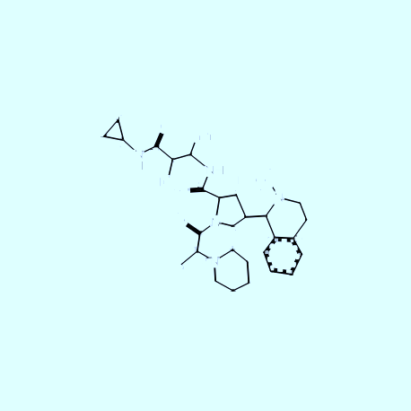 CCCC(NC(=O)C1CC(C2c3ccccc3CCN2C(=O)O)CN1C(=O)C(C)N1CCCCC1)C(O)C(=O)NC1CC1